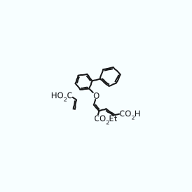 C=CC(=O)O.CCOC(=O)C(C=CC(=O)O)=COc1ccccc1-c1ccccc1